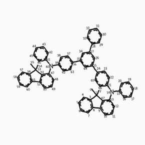 CC1(C)c2ccccc2-c2cccc(N(c3ccccc3)c3ccc(-c4cc(-c5ccccc5)cc(-c5ccc(N(c6ccccc6)c6cccc7c6C(C)(C)c6ccccc6-7)cc5)c4)cc3)c21